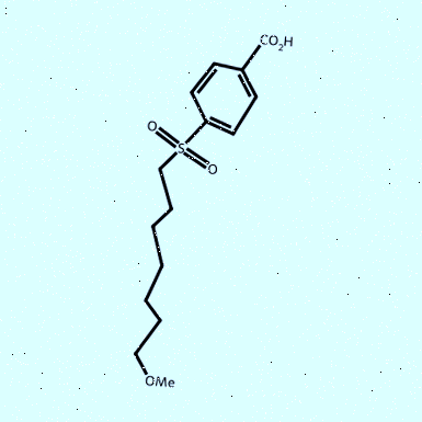 COCCCCCCCS(=O)(=O)c1ccc(C(=O)O)cc1